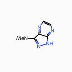 CNc1n[nH]c2nccnc12